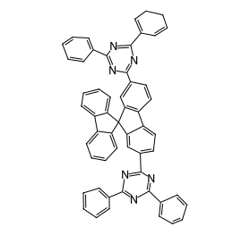 C1=CC(c2nc(-c3ccccc3)nc(-c3ccc4c(c3)C3(c5ccccc5-c5ccccc53)c3cc(-c5nc(-c6ccccc6)nc(-c6ccccc6)n5)ccc3-4)n2)=CCC1